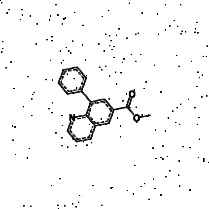 COC(=O)c1cc(-c2ccccc2)c2ncccc2c1